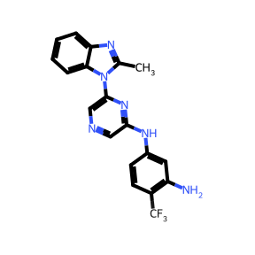 Cc1nc2ccccc2n1-c1cncc(Nc2ccc(C(F)(F)F)c(N)c2)n1